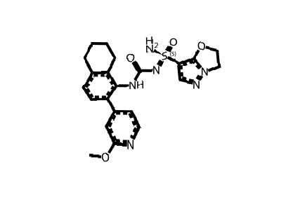 COc1cc(-c2ccc3c(c2NC(=O)N=[S@](N)(=O)c2cnn4c2OCC4)CCCC3)ccn1